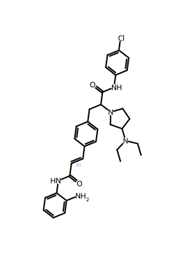 CCN(CC)C1CCN(C(Cc2ccc(/C=C/C(=O)Nc3ccccc3N)cc2)C(=O)Nc2ccc(Cl)cc2)C1